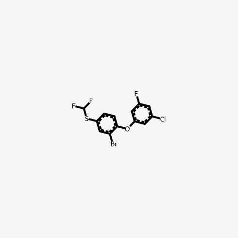 Fc1cc(Cl)cc(Oc2ccc(SC(F)F)cc2Br)c1